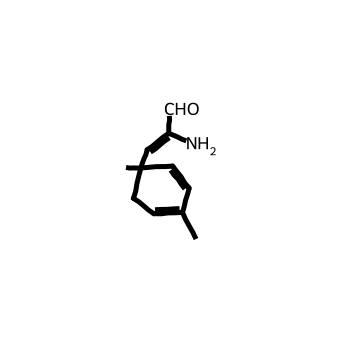 CC1=CCC(C)(C=C(N)C=O)C=C1